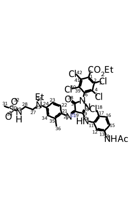 CCOC(=O)c1c(Cl)c(Cl)c(N2N=C(Nc3cc(NC(C)=O)ccc3Cl)/C(=N/c3ccc(N(CC)CCNS(C)(=O)=O)cc3C)C2=O)c(Cl)c1Cl